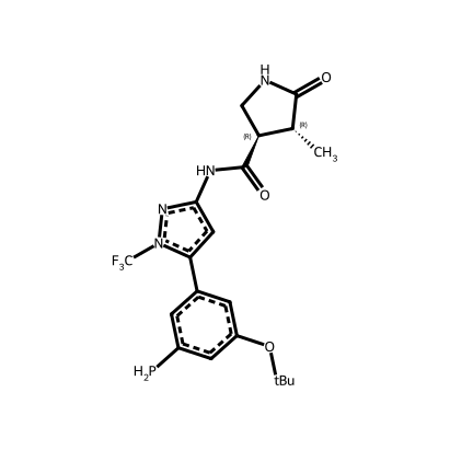 C[C@H]1C(=O)NC[C@@H]1C(=O)Nc1cc(-c2cc(P)cc(OC(C)(C)C)c2)n(C(F)(F)F)n1